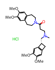 COc1cc2c(cc1OC)CCN(C(=O)CCN(C)C[C@@H]1Cc3cc(OC)c(OC)cc31)CC2.Cl